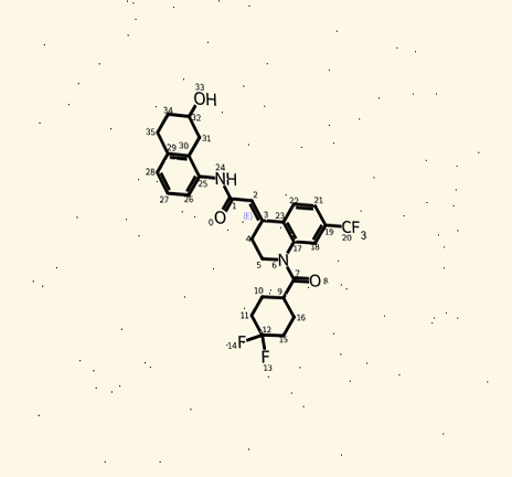 O=C(/C=C1\CCN(C(=O)C2CCC(F)(F)CC2)c2cc(C(F)(F)F)ccc21)Nc1cccc2c1CC(O)CC2